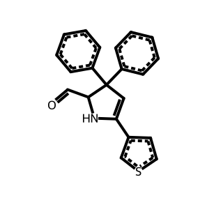 O=CC1NC(c2ccsc2)=CC1(c1ccccc1)c1ccccc1